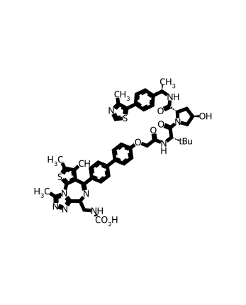 Cc1ncsc1-c1ccc([C@H](C)NC(=O)[C@@H]2C[C@@H](O)CN2C(=O)[C@@H](NC(=O)COc2ccc(-c3ccc(C4=NC(CNC(=O)O)c5nnc(C)n5-c5sc(C)c(C)c54)cc3)cc2)C(C)(C)C)cc1